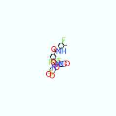 Cc1cc(NC(=O)c2ccc(F)c(C(F)(F)C(=O)N3C4COCC3CN(C(=O)N3CCS(=O)(=O)CC3)C4)c2)ccc1F